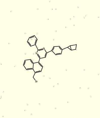 BrCc1ccc(-c2cc(-c3ccc(C4C5CCC54)cc3)nc(-c3ccccc3)n2)c2ccccc12